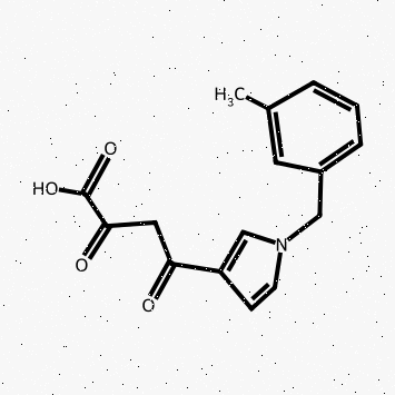 Cc1cccc(Cn2ccc(C(=O)CC(=O)C(=O)O)c2)c1